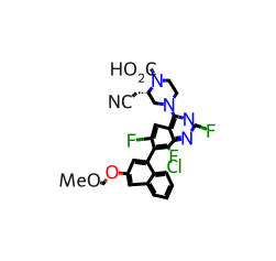 COCOc1cc(-c2c(F)cc3c(N4CCN(C(=O)O)[C@@H](CC#N)C4)nc(F)nc3c2F)c2c(Cl)cccc2c1